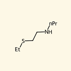 CCCNCCSCC